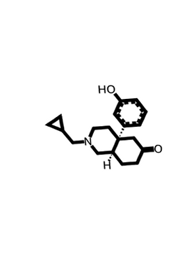 O=C1CC[C@H]2CN(CC3CC3)CC[C@@]2(c2cccc(O)c2)C1